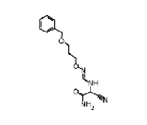 N#CC(NC=NOCCCOCc1ccccc1)C(N)=O